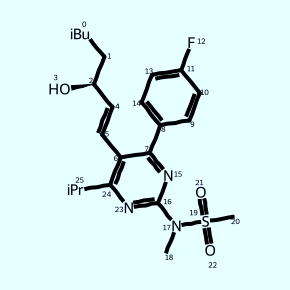 CCC(C)C[C@H](O)/C=C/c1c(-c2ccc(F)cc2)nc(N(C)S(C)(=O)=O)nc1C(C)C